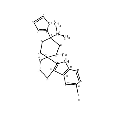 CN(C)C1(c2cccs2)CCC2(OCCc3c2[nH]c2ccc(F)cc32)C(F)C1